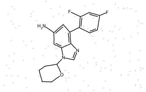 Nc1cc(-c2ccc(F)cc2F)c2ncn(C3CCCCO3)c2c1